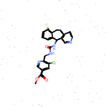 COC(=O)c1cnc(CNC(=O)NC2c3cnccc3CCc3c(F)cccc32)c(Cl)c1